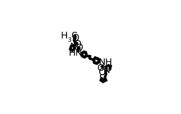 COCC(=O)N1CCC[C@H]1C(=O)Nc1ccc(/C=C/c2ccc(NC(=O)[C@@H]3CCCN3C(=O)Cc3cccs3)cc2)cc1